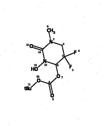 CN1CC(F)(F)C(OC(=O)OC(C)(C)C)N(O)C1=O